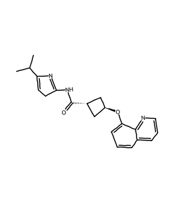 CC(C)C1=CCC(NC(=O)[C@H]2C[C@H](Oc3cccc4cccnc34)C2)=N1